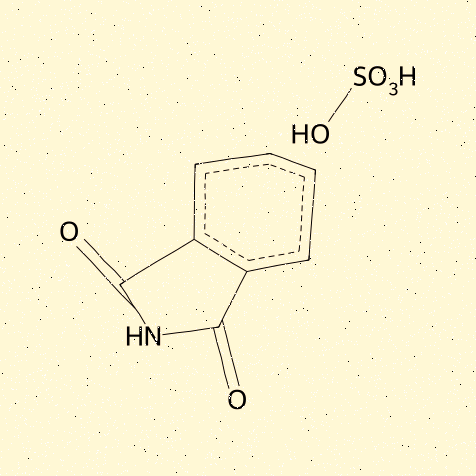 O=C1NC(=O)c2ccccc21.O=S(=O)(O)O